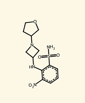 NS(=O)(=O)c1cccc([N+](=O)[O-])c1NC1CN(C2CCOC2)C1